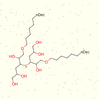 CCCCCCCCCCCCCCCCOCC(O)C(CC(O)CO)SC(CC(O)CO)C(O)COCCCCCCCCCCCCCCCC